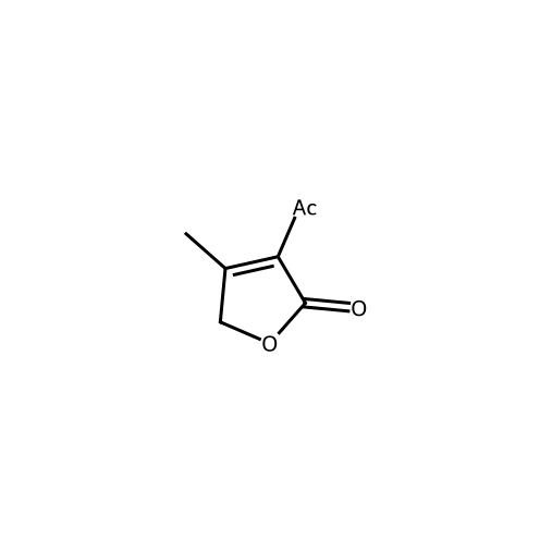 CC(=O)C1=C(C)COC1=O